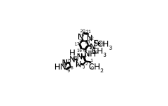 C=Cc1cnc(Nc2cc[nH]n2)nc1Nc1ccc2nccnc2c1N(C)SC